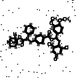 COc1ccc(C(Cc2c(Cl)c[n+]([O-])cc2Cl)OC(=O)c2ccc(CN(C(=O)O[C@H]3CN4CCC3CC4)c3ccccc3)cc2)cc1OC